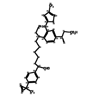 CC(C)CN(CCCCCN(C=O)c1ccc(C2(C(F)(F)F)N=N2)cc1)c1ccc([C@H](C)CC(=O)O)cc1Nc1nc(C(F)(F)F)ns1